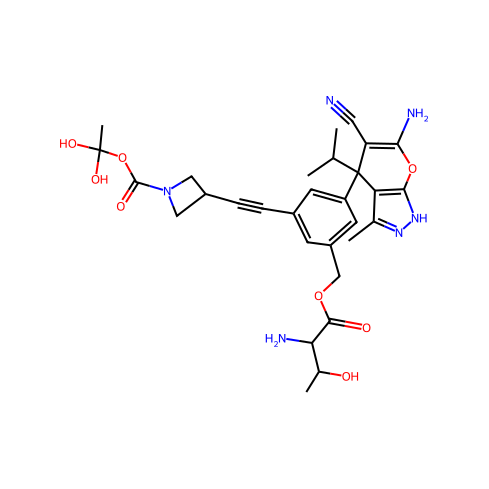 Cc1n[nH]c2c1C(c1cc(C#CC3CN(C(=O)OC(C)(O)O)C3)cc(COC(=O)C(N)C(C)O)c1)(C(C)C)C(C#N)=C(N)O2